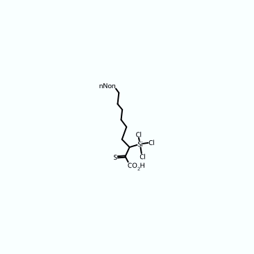 CCCCCCCCCCCCCCCC(C(=S)C(=O)O)[Si](Cl)(Cl)Cl